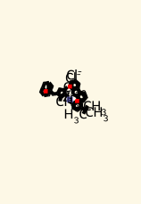 CC1=[C](/[Zr+2](=[CH]/c2ccc(C(C)(C)C)cc2)[CH]2c3ccccc3-c3ccccc32)C(C)C=C1CC12CC3CC(CC(C3)C1)C2.[Cl-].[Cl-]